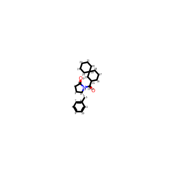 O=C1CC[C@@H](Cc2ccccc2)N1C(=O)C1CCCC2(CCCCC2)C1